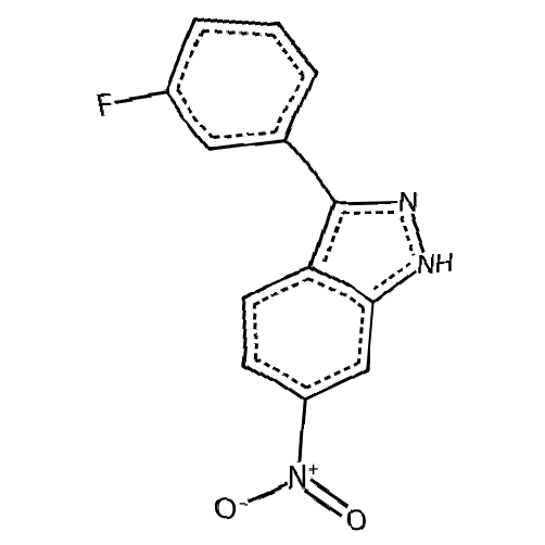 O=[N+]([O-])c1ccc2c(-c3cccc(F)c3)n[nH]c2c1